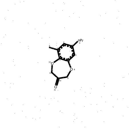 CCCc1cc(C)c2c(c1)OCC(=O)CO2